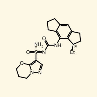 CC[C@@H]1CCc2cc3c(c(NC(=O)N=[S@](N)(=O)c4cnn5c4OCCC5)c21)CCC3